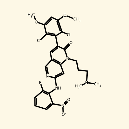 COc1cc(OC)c(Cl)c(-c2cc3cnc(Nc4c(F)cccc4[N+](=O)[O-])cc3n(CCCN(C)C)c2=O)c1Cl